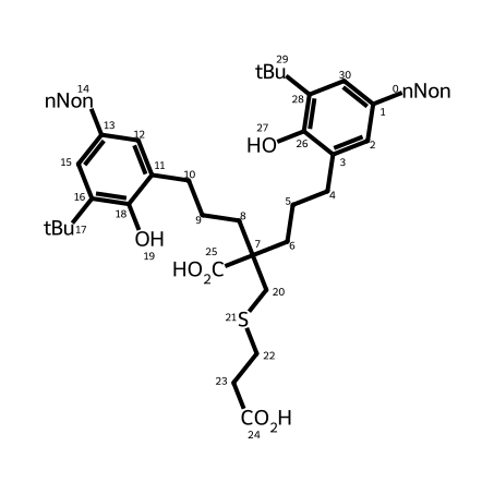 CCCCCCCCCc1cc(CCCC(CCCc2cc(CCCCCCCCC)cc(C(C)(C)C)c2O)(CSCCC(=O)O)C(=O)O)c(O)c(C(C)(C)C)c1